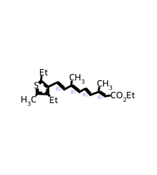 CCOC(=O)/C=C(C)/C=C/C=C(C)/C=C/c1c(CC)sc(C)c1CC